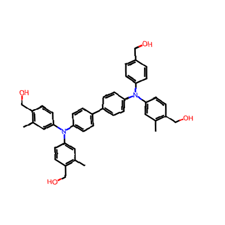 Cc1cc(N(c2ccc(CO)cc2)c2ccc(-c3ccc(N(c4ccc(CO)c(C)c4)c4ccc(CO)c(C)c4)cc3)cc2)ccc1CO